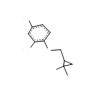 Cc1ccc(OCC2CC2(F)F)c(C)c1